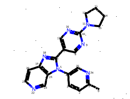 Cc1ccc(-n2c(-c3cnc(N4CCCC4)nc3)nc3ccncc32)cn1